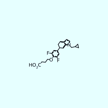 O=C(O)CCCOc1c(F)cc(C2C=c3c(ccn3CC3CC3)=CC2)cc1F